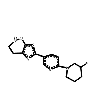 FC1CCCN(c2ccc(-c3nc4c(s3)ONCC4)cn2)C1